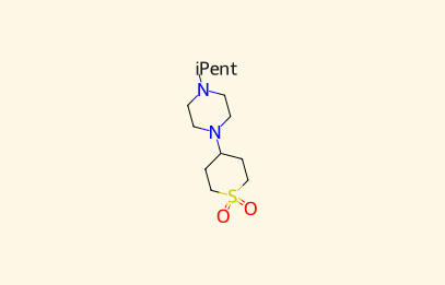 CCCC(C)N1CCN(C2CCS(=O)(=O)CC2)CC1